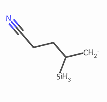 [CH2]C([SiH3])CCC#N